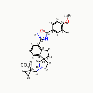 Cc1cc(-c2nc(-c3cccc4c3CC[C@]43CCN(CC4(C(=O)O)CC4)C3)no2)ccc1OC(C)C